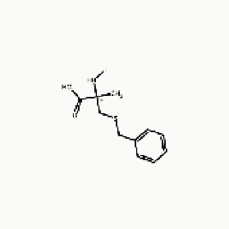 C[C@](CSCc1ccccc1)(NCl)C(=O)O